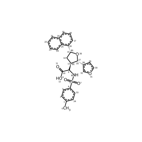 Cc1ccc(S(=O)(=O)NC(C(=O)O)[C@H]2C[C@H](c3cccc4ccccc34)O[C@@H]2c2ccoc2)cc1